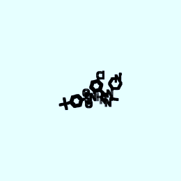 Cc1nnc(-c2cc(Cl)ccc2NS(=O)(=O)c2ccc(C(C)(C)C)cc2)n1C1CCN(C)CC1